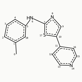 Cc1cccc(Nc2ncc(-c3ccncc3)s2)c1